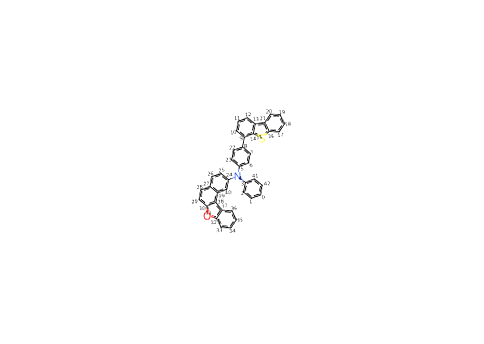 c1ccc(N(c2ccc(-c3cccc4c3sc3ccccc34)cc2)c2ccc3ccc4oc5ccccc5c4c3c2)cc1